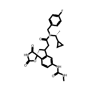 CNC(=O)Nc1ccc2c(c1)C(CC(=O)N(Cc1ccc(F)cc1)[C@H](C)C1CC1)C[C@@]21OC(=O)NC1=O